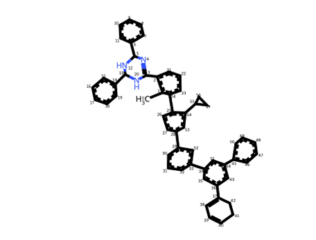 Cc1c(C2=NC(c3ccccc3)NC(c3ccccc3)N2)cccc1-c1ccc(-c2cccc(-c3cc(C4=CC=CCC4)cc(-c4ccccc4)c3)c2)cc1C1CC1